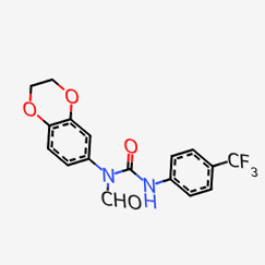 O=CN(C(=O)Nc1ccc(C(F)(F)F)cc1)c1ccc2c(c1)OCCO2